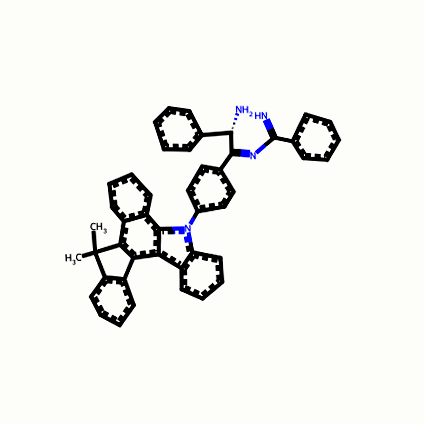 CC1(C)c2ccccc2-c2c1c1ccccc1c1c2c2ccccc2n1-c1ccc(/C(=N/C(=N)c2ccccc2)[C@@H](N)c2ccccc2)cc1